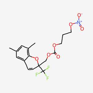 Cc1cc(C)c2c(c1)C=CC(COC(=O)OCCCO[N+](=O)[O-])(C(F)(F)F)O2